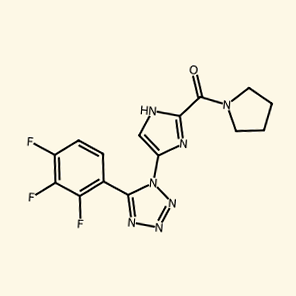 O=C(c1nc(-n2nnnc2-c2ccc(F)c(F)c2F)c[nH]1)N1CCCC1